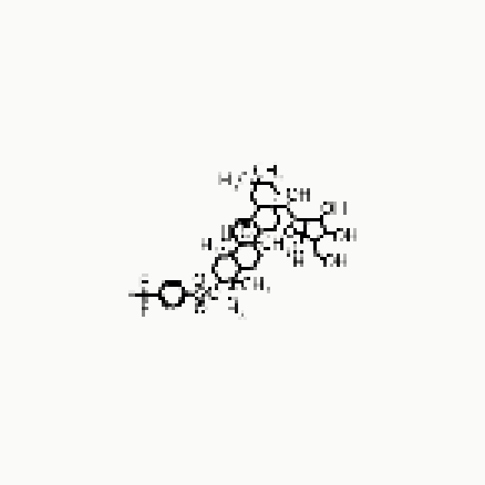 CC1(C)CC[C@]2([C@H](O)[C@H]3OC4(O)C(CO)[C@H](O)C(O)C34)CC[C@]3(C)C(=CCC4[C@@]5(C)CC[C@H](OS(=O)(=O)c6ccc(C(F)(F)F)cc6)C(C)(C)C5CC[C@]43C)C2C1